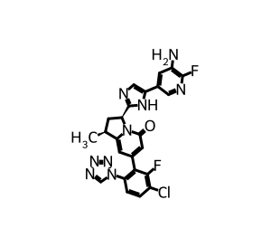 C[C@H]1C[C@@H](c2ncc(-c3cnc(F)c(N)c3)[nH]2)n2c1cc(-c1c(-n3cnnn3)ccc(Cl)c1F)cc2=O